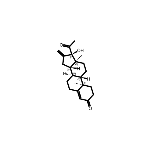 C=C1C[C@H]2[C@@H]3CCC4=CC(=O)CC[C@]4(C)[C@H]3CC[C@]2(C)[C@@]1(O)C(C)=O